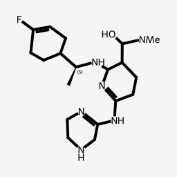 CNC(O)C1CCC(NC2=NCCNC2)=NC1N[C@@H](C)C1CC=C(F)CC1